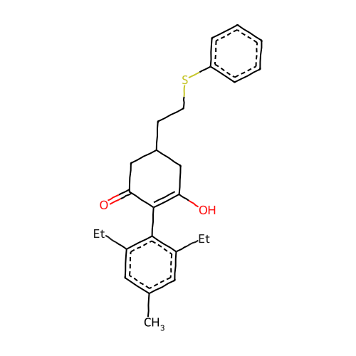 CCc1cc(C)cc(CC)c1C1=C(O)CC(CCSc2ccccc2)CC1=O